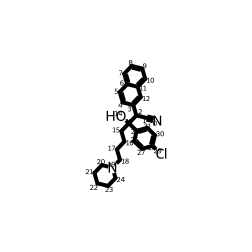 N#CC(c1ccc2ccccc2c1)C(O)(CCCCN1CCCCC1)c1ccc(Cl)cc1